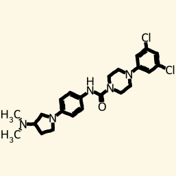 CN(C)C1CCN(c2ccc(NC(=O)N3CCN(c4cc(Cl)cc(Cl)c4)CC3)cc2)C1